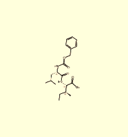 CC[C@H](C)[C@H](NC(=O)[C@H](CC(C)C)NC(=O)OCc1ccccc1)C(=O)O